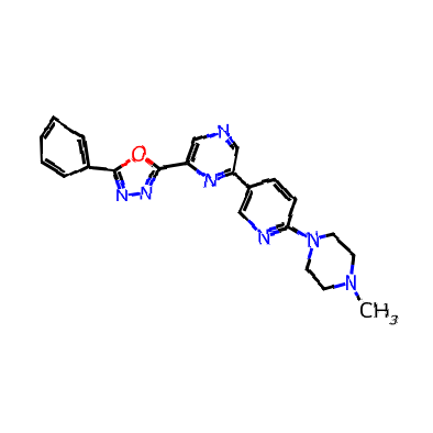 CN1CCN(c2ccc(-c3cncc(-c4nnc(-c5ccccc5)o4)n3)cn2)CC1